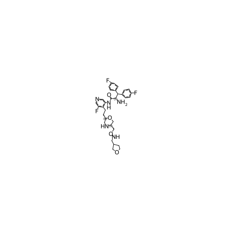 N[C@H](C(=O)Nc1cncc(F)c1CC[C@@H]1CN[C@H](CONCC2CCOC2)CO1)C(c1ccc(F)cc1)c1ccc(F)cc1